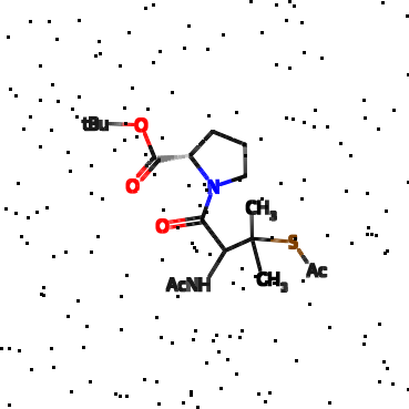 CC(=O)NC(C(=O)N1CCC[C@H]1C(=O)OC(C)(C)C)C(C)(C)SC(C)=O